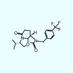 CC(C)[C@H]1CO[C@]23CC(=O)N(Cc4ccc(C(F)(F)F)cc4)C[C@H]2CCC(=O)N13